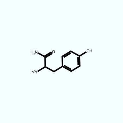 CCCC(Cc1ccc(O)cc1)C(N)=O